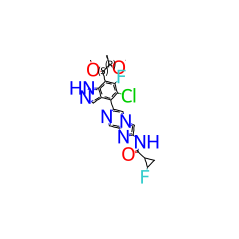 CO[C@H](C)[C@@H](OC)c1c(F)c(Cl)c(-c2cn3cc(NC(=O)C4CC4F)nc3cn2)c2cn[nH]c12